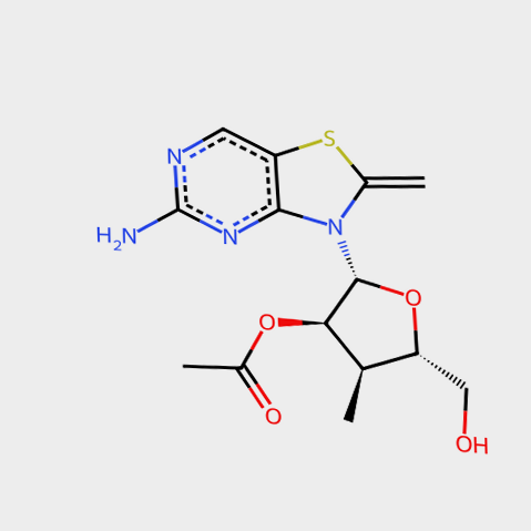 C=C1Sc2cnc(N)nc2N1[C@@H]1O[C@H](CO)[C@@H](C)[C@H]1OC(C)=O